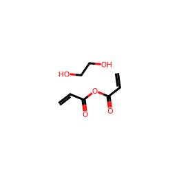 C=CC(=O)OC(=O)C=C.OCCO